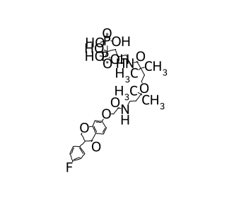 CC(C)(CCNC(=O)COc1ccc2c(c1)OCC(c1ccc(F)cc1)C2=O)OCCC(C)(C)C(=O)NCCCC(O)(P(=O)(O)O)P(=O)(O)O